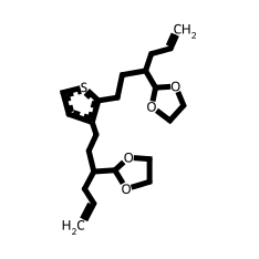 C=CCC(CCc1ccsc1CCC(CC=C)C1OCCO1)C1OCCO1